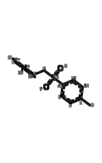 Cc1ccc(S(=O)(=O)CN=[N+]=[N-])cc1